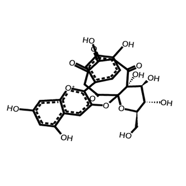 O=C1CC(=O)C2(Oc3cc4c(O)cc(O)cc4[o+]c3-c3ccc(O)c(O)c3)O[C@H](CO)[C@@H](O)[C@H](O)[C@]2(O)C(=O)CC1=O